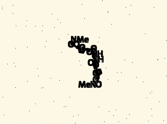 CNC(=O)OCC1CCC(COC(=O)NCNC(=O)OCC2CCC(COC(=O)NC)O2)O1